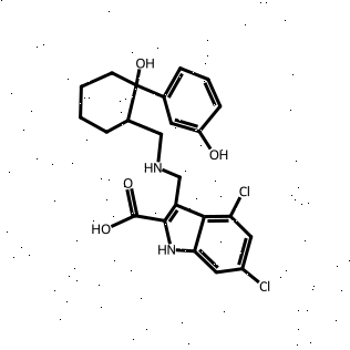 O=C(O)c1[nH]c2cc(Cl)cc(Cl)c2c1CNCC1CCCCC1(O)c1cccc(O)c1